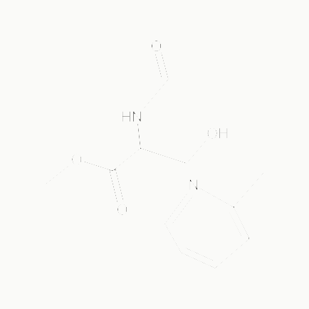 COC(=O)C(CO)NC=O.Cc1ccccn1